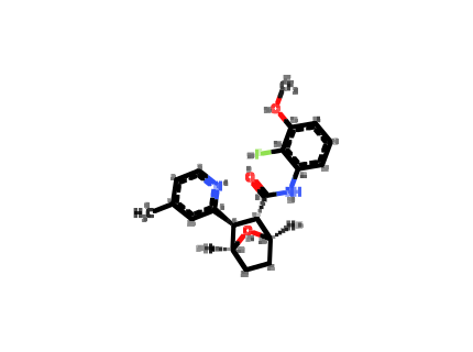 Cc1ccnc([C@H]2[C@H](C(=O)Nc3cccc(OC(F)(F)F)c3F)[C@H]3CC[C@@H]2O3)c1